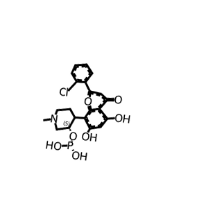 CN1CCC(c2c(O)cc(O)c3c(=O)cc(-c4ccccc4Cl)oc23)[C@H](OP(O)O)C1